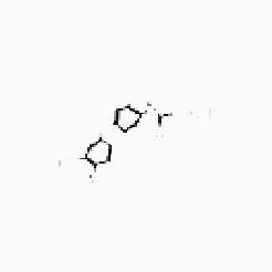 CC(C)c1cc(Oc2ccc(NC(=O)C(=O)O)cc2)ccc1O